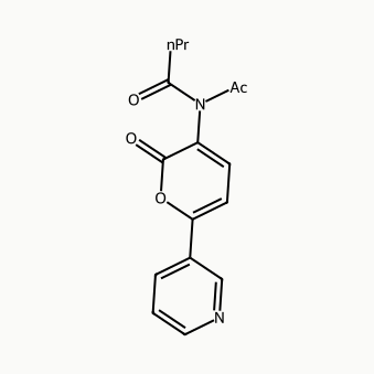 CCCC(=O)N(C(C)=O)c1ccc(-c2cccnc2)oc1=O